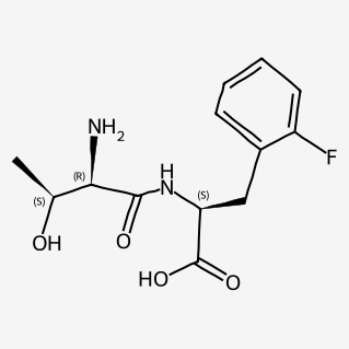 C[C@H](O)[C@@H](N)C(=O)N[C@@H](Cc1ccccc1F)C(=O)O